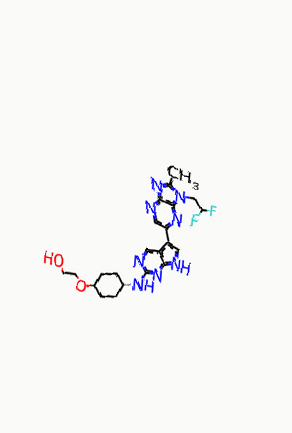 Cc1nc2ncc(-c3c[nH]c4nc(N[C@H]5CC[C@H](OCCO)CC5)ncc34)nc2n1CC(F)F